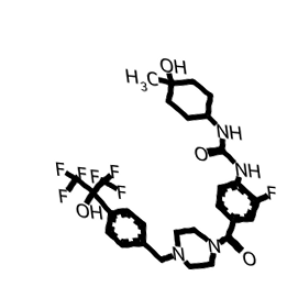 CC1(O)CCC(NC(=O)Nc2ccc(C(=O)N3CCN(Cc4ccc(C(O)(C(F)(F)F)C(F)(F)F)cc4)CC3)cc2F)CC1